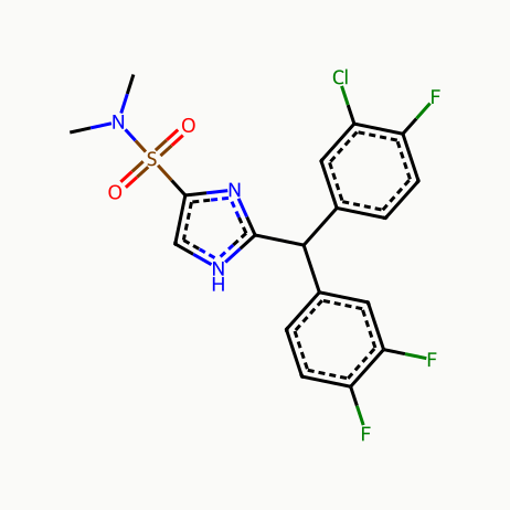 CN(C)S(=O)(=O)c1c[nH]c(C(c2ccc(F)c(F)c2)c2ccc(F)c(Cl)c2)n1